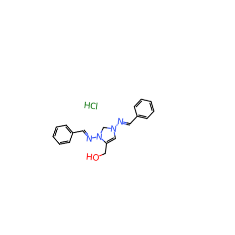 Cl.OCC1=CN(N=Cc2ccccc2)CN1N=Cc1ccccc1